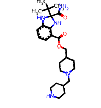 CC(C)(C)C1(C(N)=O)Nc2cccc(C(=O)OCC3CCN(CC4CCNCC4)CC3)c2N1